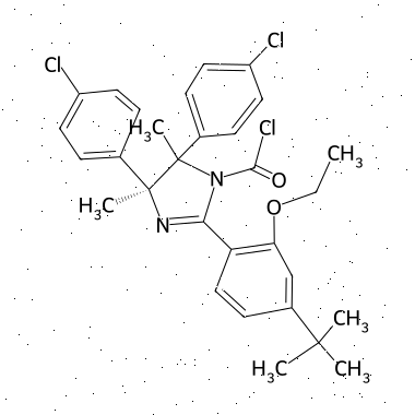 CCOc1cc(C(C)(C)C)ccc1C1=N[C@@](C)(c2ccc(Cl)cc2)C(C)(c2ccc(Cl)cc2)N1C(=O)Cl